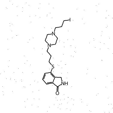 O=C1NCc2c(SCCCN3CCN(CCCI)CC3)cccc21